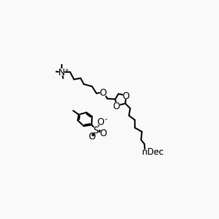 CCCCCCCCCCCCCCCCCC1OCC(COCCCCCC[N+](C)(C)C)O1.Cc1ccc(S(=O)(=O)[O-])cc1